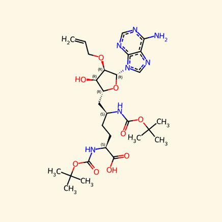 C=CCO[C@@H]1[C@H](O)[C@@H](C[C@H](CC[C@H](NC(=O)OC(C)(C)C)C(=O)O)NC(=O)OC(C)(C)C)O[C@H]1n1cnc2c(N)ncnc21